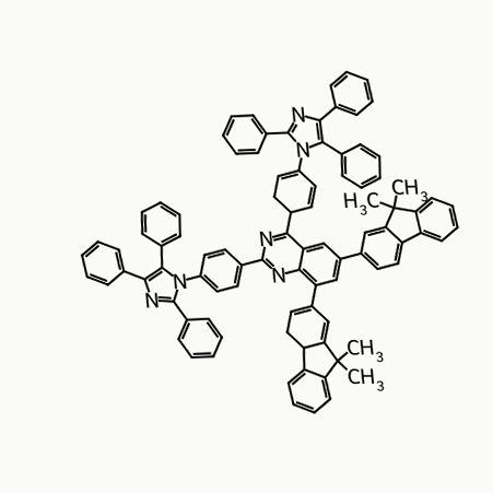 CC1(C)C2=CC(c3cc(-c4ccc5c(c4)C(C)(C)c4ccccc4-5)cc4c(C5C=CC(n6c(-c7ccccc7)nc(-c7ccccc7)c6-c6ccccc6)=CC5)nc(-c5ccc(-n6c(-c7ccccc7)nc(-c7ccccc7)c6-c6ccccc6)cc5)nc34)=CCC2c2ccccc21